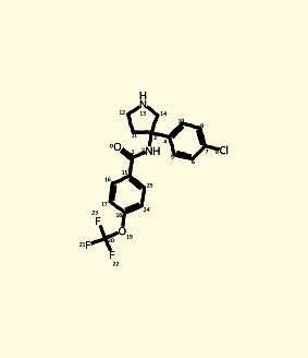 O=C(NC1(c2ccc(Cl)cc2)CCNC1)c1ccc(OC(F)(F)F)cc1